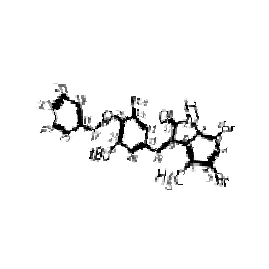 Cc1c(Br)cc(Br)c2c1C(=Cc1cc(I)c(OCc3ccccc3)c(C(C)(C)C)c1)C(=O)N2